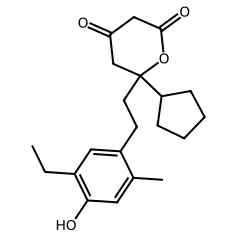 CCc1cc(CCC2(C3CCCC3)CC(=O)CC(=O)O2)c(C)cc1O